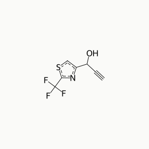 C#CC(O)c1csc(C(F)(F)F)n1